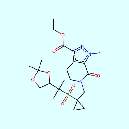 CCOC(=O)c1nn(C)c2c1CCN(CC1(S(=O)(=O)C(C)(C)C3COC(C)(C)O3)CC1)C2=O